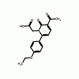 CCOc1ccc(-c2ccc(C(C)=O)c(=O)n2CC(=O)O)cc1